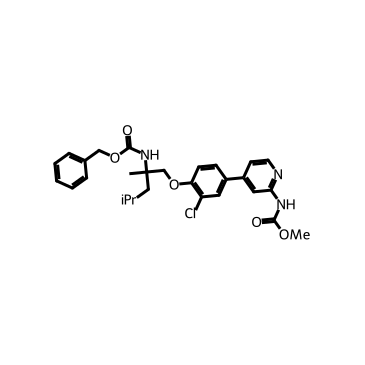 COC(=O)Nc1cc(-c2ccc(OCC(C)(CC(C)C)NC(=O)OCc3ccccc3)c(Cl)c2)ccn1